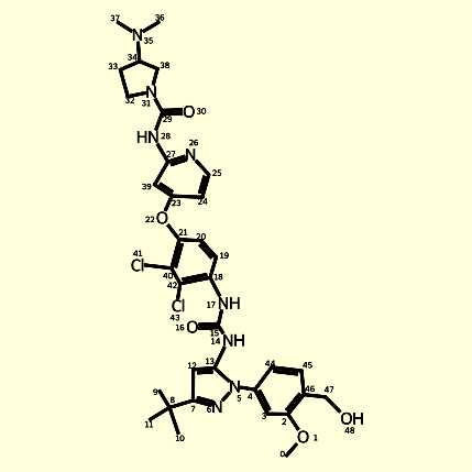 COc1cc(-n2nc(C(C)(C)C)cc2NC(=O)Nc2ccc(Oc3ccnc(NC(=O)N4CCC(N(C)C)C4)c3)c(Cl)c2Cl)ccc1CO